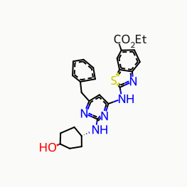 CCOC(=O)c1ccc2nc(Nc3cc(Cc4ccccc4)nc(N[C@H]4CC[C@H](O)CC4)n3)sc2c1